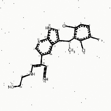 C[C@@H](c1c(Cl)ccc(F)c1Cl)c1c[nH]c2ncc(/C(C=N)=C/NCCO)cc12